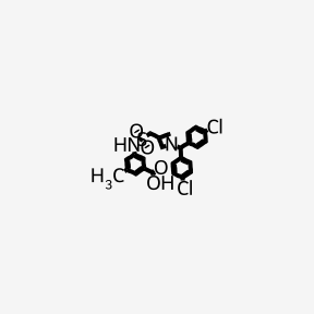 Cc1cc(NS(=O)(=O)CC2CN(C(c3ccc(Cl)cc3)c3ccc(Cl)cc3)C2)cc(C(=O)O)c1